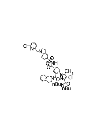 CCCCN(CCCC)C(=O)c1nn(-c2ccc(C(=O)NS(=O)(=O)c3ccc4c(c3)CCN4Cc3cccc(Cl)n3)cc2C(=O)N2CCc3ccccc3C2)c(C)c1Cl